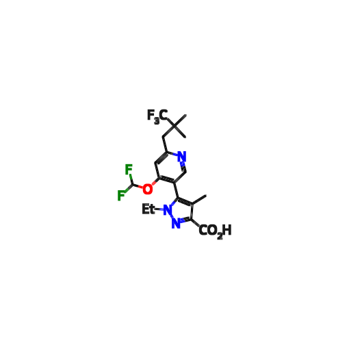 CCn1nc(C(=O)O)c(C)c1-c1cnc(CC(C)(C)C(F)(F)F)cc1OC(F)F